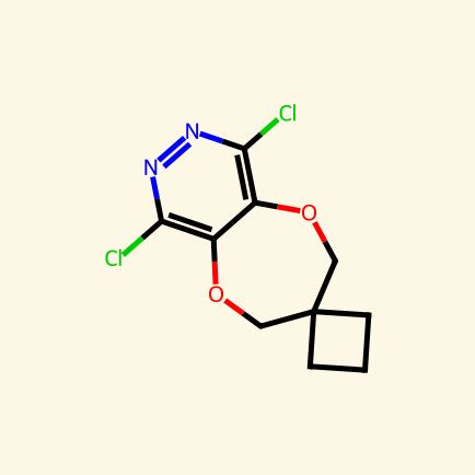 Clc1nnc(Cl)c2c1OCC1(CCC1)CO2